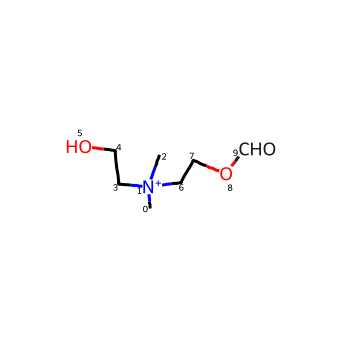 C[N+](C)(CCO)CCOC=O